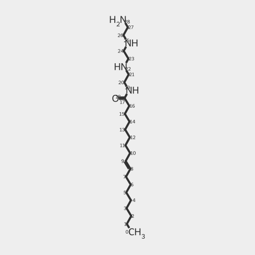 CCCCCCCCC=CCCCCCCCC(=O)NCCNCCNCCN